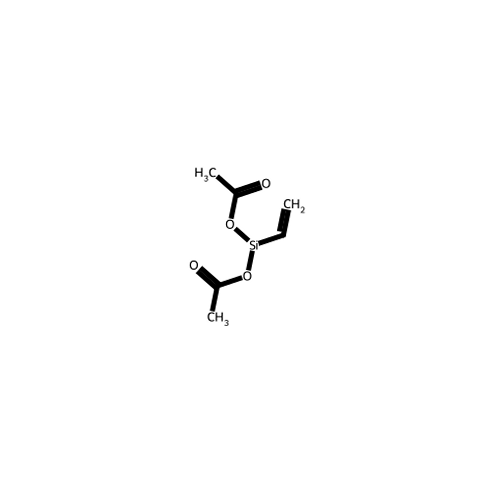 C=C[Si](OC(C)=O)OC(C)=O